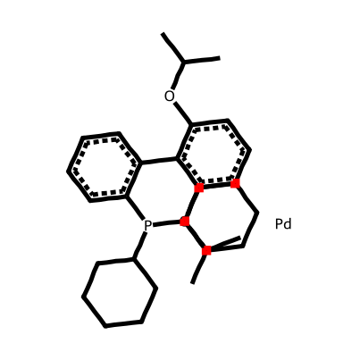 CC(C)Oc1cccc(OC(C)C)c1-c1ccccc1P(C1CCCCC1)C1CCCCC1.[Pd]